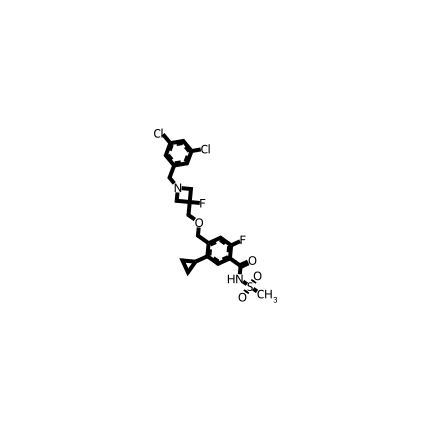 CS(=O)(=O)NC(=O)c1cc(C2CC2)c(COCC2(F)CN(Cc3cc(Cl)cc(Cl)c3)C2)cc1F